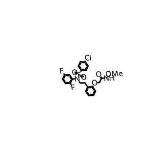 CONC(=O)COc1ccccc1CCN(c1cc(F)ccc1F)S(=O)(=O)c1ccc(Cl)cc1